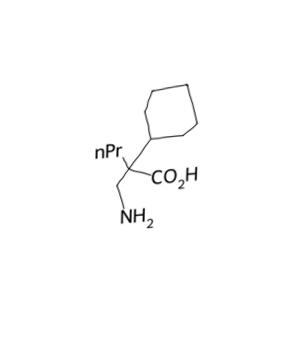 CCCC(CN)(C(=O)O)C1CCCCC1